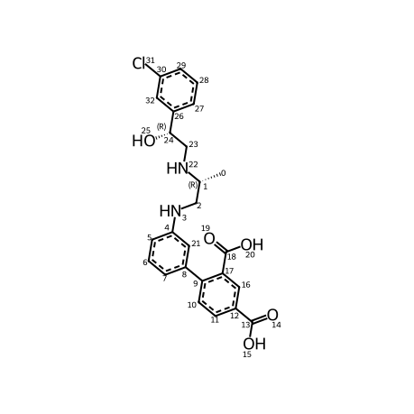 C[C@H](CNc1cccc(-c2ccc(C(=O)O)cc2C(=O)O)c1)NC[C@H](O)c1cccc(Cl)c1